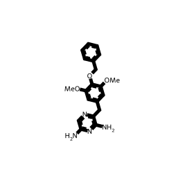 COc1cc(Cc2ncc(N)nc2N)cc(OC)c1OCc1ccccc1